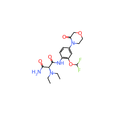 CCN(CC)[C@@H](C(N)=O)C(=O)Nc1ccc(N2CCOCC2=O)cc1OC(F)F